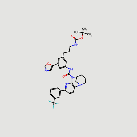 CC(C)(C)OC(=O)NCCCc1cc(NC(=O)N2c3nc(-c4cccc(C(F)(F)F)c4)ccc3N3CCCC2C3)cc(-c2cnco2)c1